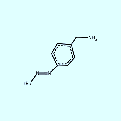 CC(C)(C)N=Nc1ccc(CN)cc1